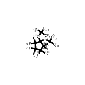 FC(F)(F)C(OC1(OC(C(F)(F)F)(C(F)(F)F)C(F)(F)F)C(F)(F)C(F)(F)C(F)(F)C1(F)F)(C(F)(F)F)C(F)(F)F